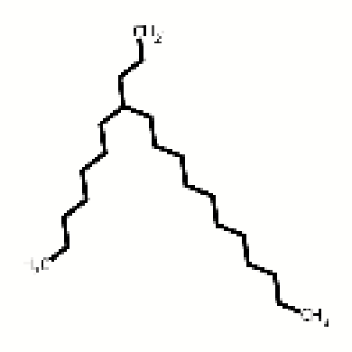 [CH2]CCC(CCCCCCC)CCCCCCCCCCC